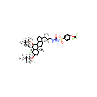 CC[C@H]1C(O[Si](C)(C)C(C)(C)C)C2C3CCC([C@H](C)CCNC(=O)NS(=O)(=O)c4ccc(OC(F)(F)F)cc4)[C@@]3(C)CCC2[C@@]2(C)CCC(O[Si](C)(C)C(C)(C)C)[C@H](F)[C@@H]12